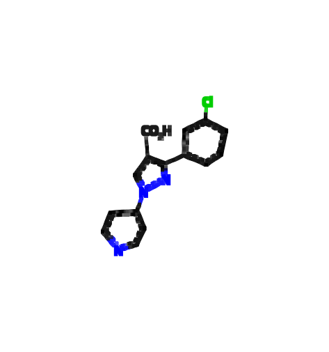 O=C(O)c1cn(-c2ccncc2)nc1-c1cccc(Cl)c1